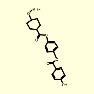 CCCCCCOC1CCC(C(=O)Oc2ccc(OC(=O)c3ccc(O)cc3)cc2)CC1